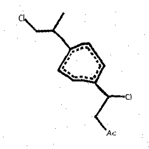 CC(=O)CC(Cl)c1ccc(C(C)CCl)cc1